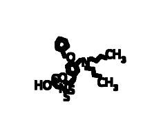 CCCCCN(CCCCC)Cc1cc(C=C2SC(=S)N(CC(=O)O)C2=O)ccc1OCc1ccccc1